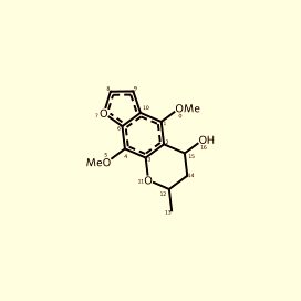 COc1c2c(c(OC)c3occc13)OC(C)CC2O